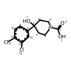 O=C(O)N1CCC(O)(c2ccc(Cl)c(Cl)c2)CC1